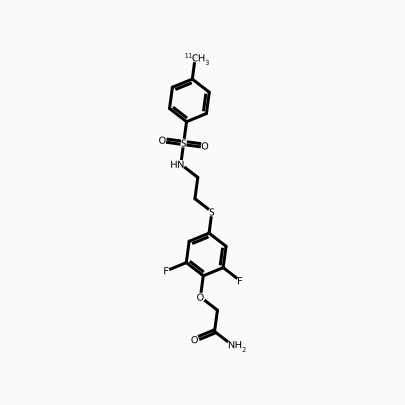 [11CH3]c1ccc(S(=O)(=O)NCCSc2cc(F)c(OCC(N)=O)c(F)c2)cc1